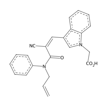 C=CCN(C(=O)C(C#N)=Cc1cn(CC(=O)O)c2ccccc12)c1ccccc1